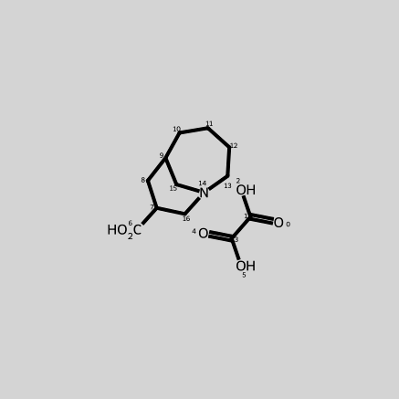 O=C(O)C(=O)O.O=C(O)C1CC2CCCCN(C2)C1